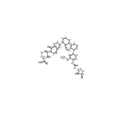 COc1nc(-c2cccc(-c3cccc(-c4ccn5c(=O)c(C6=NCC[C@H](C(=O)O)N6)cnc5c4)c3Cl)c2Cl)ccc1CNC[C@@H]1CCC(=O)N1